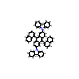 c1ccc2c(-c3c4ccc(-n5c6ccccc6c6ccccc65)cc4c(-c4cccc5ccccc45)c4ccc(-n5c6ccccc6c6ccccc65)cc34)cccc2c1